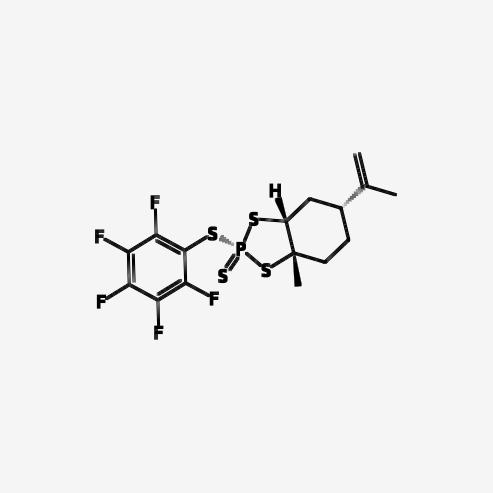 C=C(C)[C@@H]1CC[C@]2(C)S[P@](=S)(Sc3c(F)c(F)c(F)c(F)c3F)S[C@@H]2C1